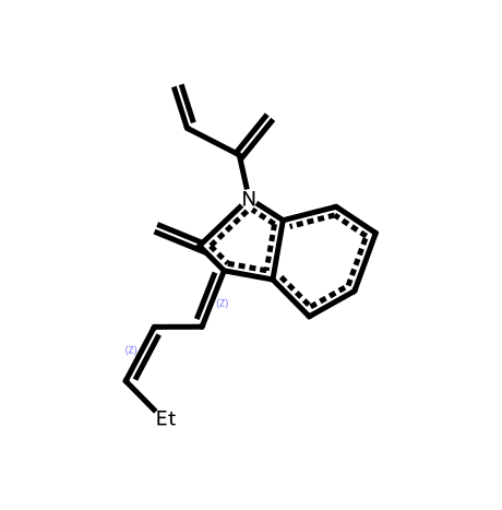 C=CC(=C)n1c(=C)/c(=C\C=C/CC)c2ccccc21